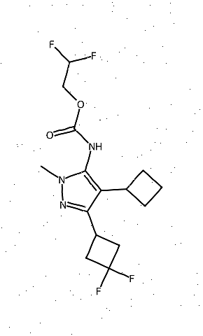 Cn1nc(C2CC(F)(F)C2)c(C2CCC2)c1NC(=O)OCC(F)F